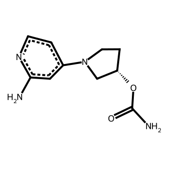 NC(=O)O[C@H]1CCN(c2ccnc(N)c2)C1